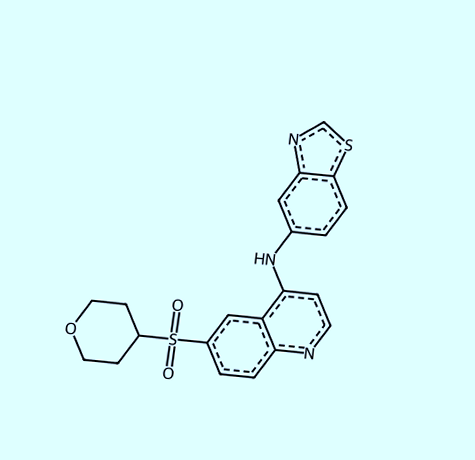 O=S(=O)(c1ccc2nccc(Nc3ccc4scnc4c3)c2c1)C1CCOCC1